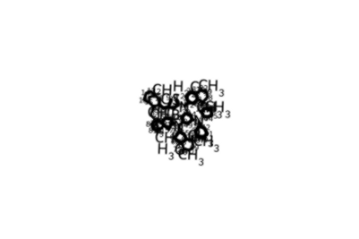 CC1c2cc3c4c(sc3cc2C2(C)CCCC1C2)N(c1ccc2c(c1)C(C)(C)CCC2(C)C)c1cc(N(c2ccccc2)c2ccccc2)cc2c1B4c1cc3c(cc1N2c1ccc2c(c1)C(C)(C)CCC2(C)C)C1(C)CCC3(C)CC1